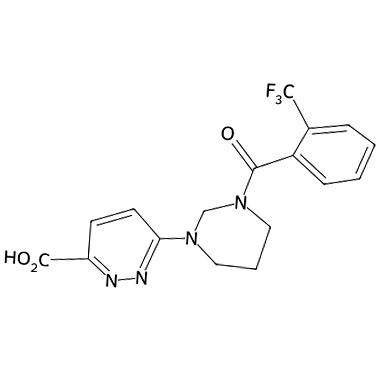 O=C(O)c1ccc(N2CCCN(C(=O)c3ccccc3C(F)(F)F)C2)nn1